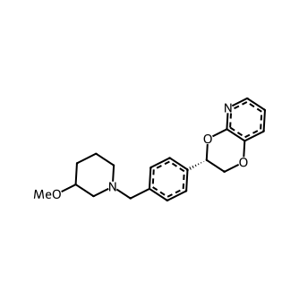 COC1CCCN(Cc2ccc([C@H]3COc4cccnc4O3)cc2)C1